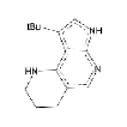 CC(C)(C)c1c[nH]c2ncc3c(c12)NCCC3